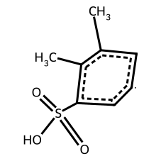 Cc1c[c]cc(S(=O)(=O)O)c1C